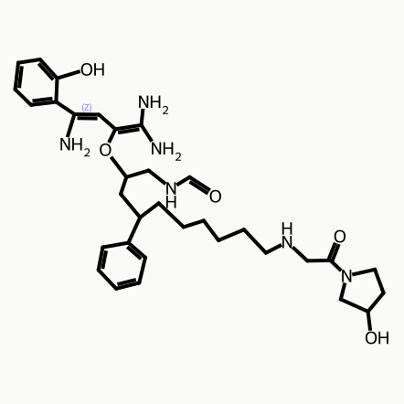 NC(N)=C(/C=C(\N)c1ccccc1O)OC(CNC=O)CC(CCCCCCNCC(=O)N1CCC(O)C1)c1ccccc1